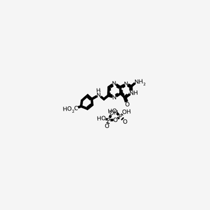 Nc1nc2ncc(CNC3=CCC(C(=O)O)C=C3)nc2c(=O)[nH]1.O=P(O)(O)OP(=O)(O)O